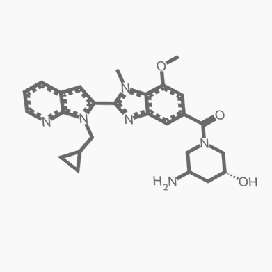 COc1cc(C(=O)N2CC(N)C[C@@H](O)C2)cc2nc(-c3cc4cccnc4n3CC3CC3)n(C)c12